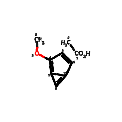 CC(=O)O.FC(F)(F)Oc1ccc2cc1-2